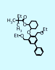 CCOCc1cc(-c2ccccc2)cc(COCC)c1OC1CCCCC1OC(=O)C(C)(C)CC